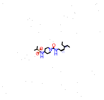 C/C=C(\C=C/CNC(=O)N1CCC(NS(=O)(=O)C(C)C)CC1)CC